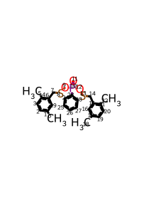 Cc1ccc(C)c(CSOP(=O)(OSCc2cc(C)ccc2C)c2ccccc2)c1